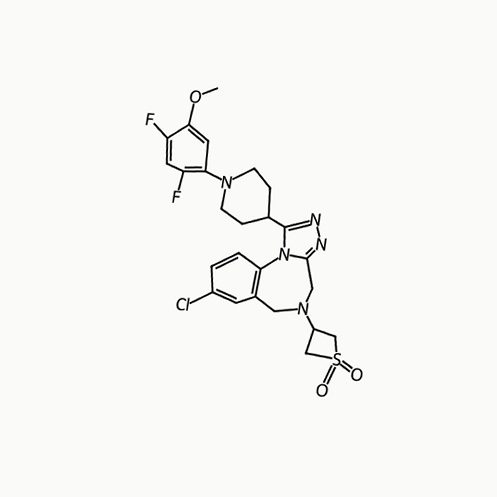 COc1cc(N2CCC(c3nnc4n3-c3ccc(Cl)cc3CN(C3CS(=O)(=O)C3)C4)CC2)c(F)cc1F